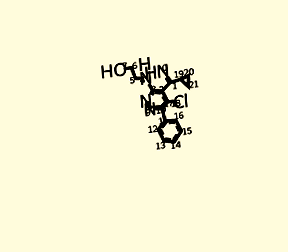 N=C(c1c(NCCO)nnc(-c2ccccc2)c1Cl)C1CC1